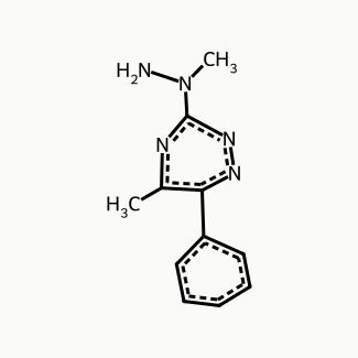 Cc1nc(N(C)N)nnc1-c1ccccc1